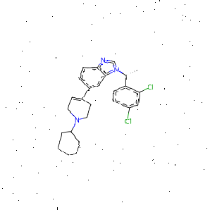 C[C@H](c1ccc(Cl)cc1Cl)n1cnc2ccc(C3=CCN(C4CCCCC4)CC3)cc21